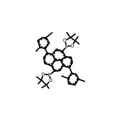 Cc1ccc(C)c(-c2ccc3c(B4OC(C)(C)C(C)(C)O4)cc4c(-c5cc(C)ccc5C)ccc5c(B6OC(C)(C)C(C)(C)O6)cc2c3c54)c1